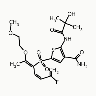 C=C(F)/C=C\C(=C(/C)OCCOC)S(=O)(=O)c1cc(C(N)=O)c(NC(=O)C(C)(C)O)s1